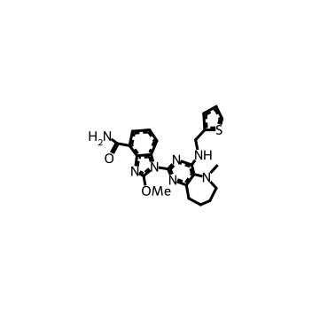 COc1nc2c(C(N)=O)cccc2n1-c1nc2c(c(NCc3cccs3)n1)N(C)CCCC2